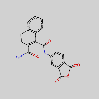 NC(=O)C1=C(C(=O)Nc2ccc3c(c2)C(=O)OC3=O)c2ccccc2CC1